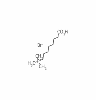 C[P+](C)(C)CCCCCCCC(=O)O.[Br-]